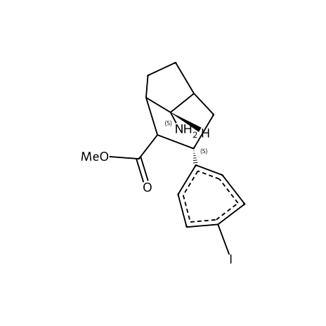 COC(=O)C1C2CCC(C[C@@H]1c1ccc(I)cc1)[C@@H]2N